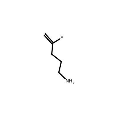 C=C(F)CCCN